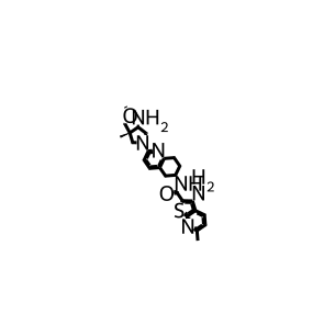 COC[C@@]1(C)CN(c2ccc3c(n2)CC[C@H](NC(=O)c2sc4nc(C)ccc4c2N)C3)C[C@@H]1N